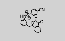 N#Cc1ccc(S(=O)(=O)Nc2cccc(Cc3n[nH]c(=O)c4c3CCCC4)c2)cc1